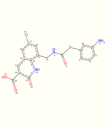 Nc1cccc(CC(=O)NCc2cc(Cl)cc3cc(C(=O)O)c(=O)[nH]c23)c1